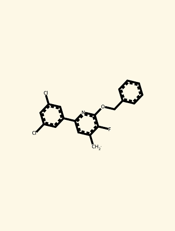 [CH2]c1cc(-c2cc(Cl)cc(Cl)c2)nc(OCc2ccccc2)c1F